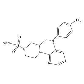 CNS(=O)(=O)N1CCN2c3ncccc3N(c3ccc(C(F)(F)F)cc3)CC2C1